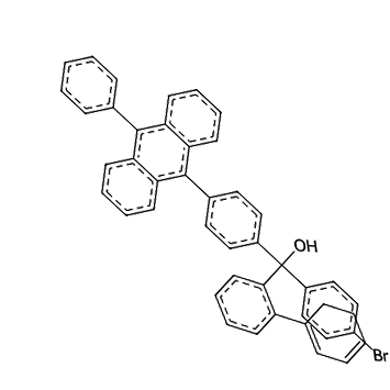 OC(c1ccc(Br)cc1)(c1ccc(-c2c3ccccc3c(-c3ccccc3)c3ccccc23)cc1)c1ccccc1C1=CC=CCC1